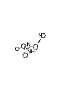 Clc1ccc2nc(-c3cccc(C#Cc4ccccn4)c3)c(Nc3ccccc3)n2c1